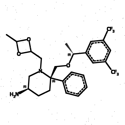 CC1OC(CN2C[C@H](N)CC[C@@]2(CO[C@H](C)c2cc(C(F)(F)F)cc(C(F)(F)F)c2)c2ccccc2)O1